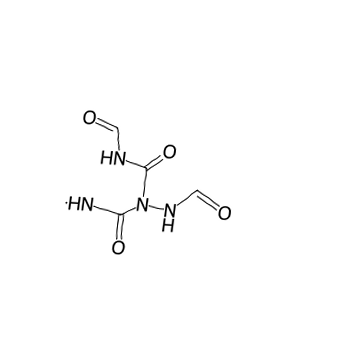 [NH]C(=O)N(NC=O)C(=O)NC=O